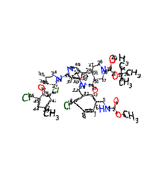 COC(=O)NCc1ccc(Cl)c(CN(C(=O)[C@H]2CN(C(=O)OC(C)(C)C)CC[C@@H]2c2ccc(N3CC[C@@H](Oc4c(Cl)cc(C)cc4Cl)C3)nc2)C2CC2)c1